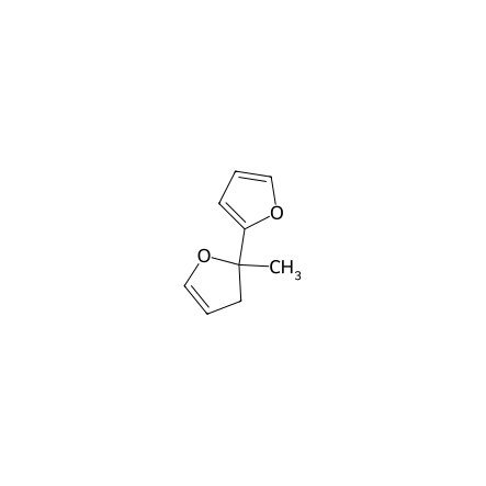 CC1(c2ccco2)CC=CO1